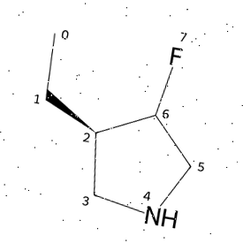 CC[C@@H]1CNCC1F